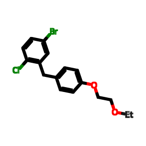 CCOCCOc1ccc(Cc2cc(Br)ccc2Cl)cc1